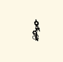 Cc1ccc(-n2cnc(C3CCCN(OC(=O)C(C)(C)C)C3)c2)cc1